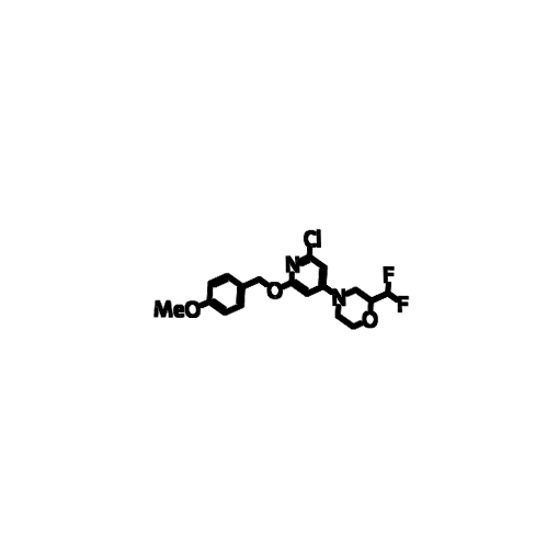 COc1ccc(COc2cc(N3CCOC(C(F)F)C3)cc(Cl)n2)cc1